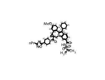 CCCc1noc(C2CCN(C(=O)C34CC3C3=C(CCC(OC)=C3)c3c(C5CCCCC5)c5ccc(C(=O)NS(=O)(=O)N(C)C)cc5n3C4)CC2)n1